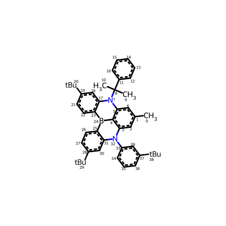 Cc1cc2c3c(c1)N(C(C)(C)c1ccccc1)c1cc(C(C)(C)C)ccc1B3c1ccc(C(C)(C)C)cc1N2c1cccc(C(C)(C)C)c1